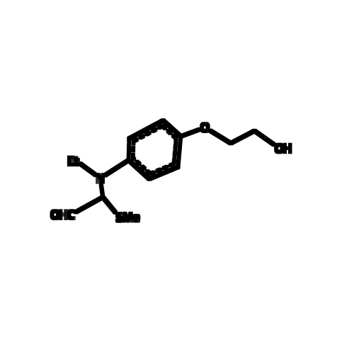 CCN(c1ccc(OCCO)cc1)C(C=O)SC